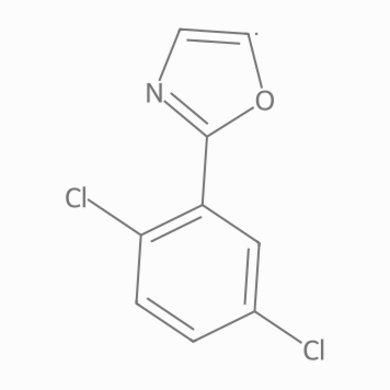 Clc1ccc(Cl)c(-c2nc[c]o2)c1